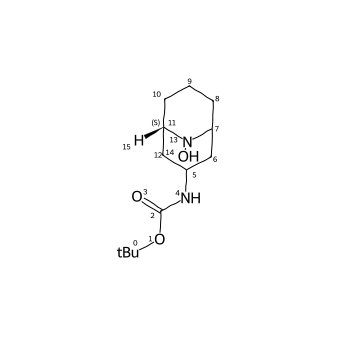 CC(C)(C)OC(=O)NC1CC2CCC[C@@H](C1)N2O